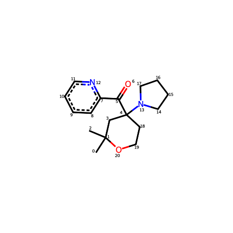 CC1(C)CC(C(=O)c2ccccn2)(N2CCCC2)CCO1